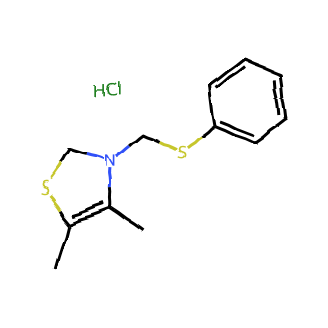 CC1=C(C)N(CSc2ccccc2)CS1.Cl